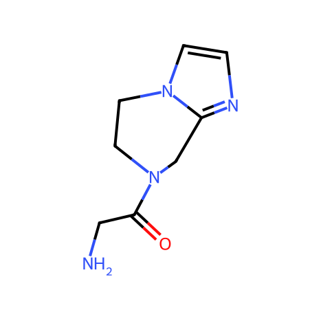 NCC(=O)N1CCn2ccnc2C1